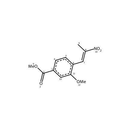 COC(=O)c1ccc(/C=C(\C)[N+](=O)[O-])c(OC)c1